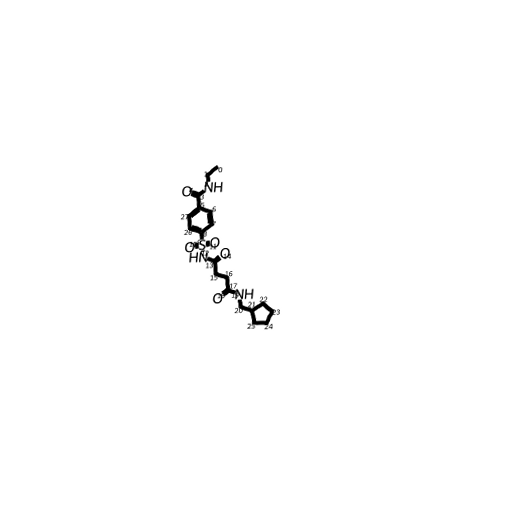 CCNC(=O)c1ccc(S(=O)(=O)NC(=O)CCC(=O)NCC2CCCC2)cc1